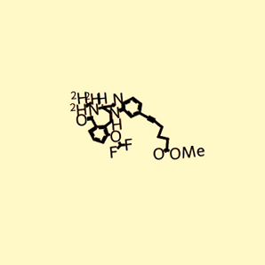 [2H]C([2H])([2H])N1C(=O)c2cccc(OC(F)F)c2[C@H]2C[C@@H]1c1nc3ccc(C#CCCCC(=O)OC)cc3n12